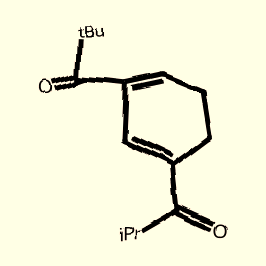 CC(C)C(=O)C1=CC(C(=O)C(C)(C)C)=CCC1